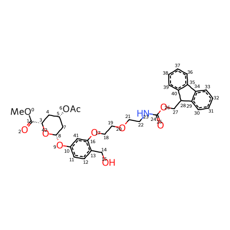 COC(=O)[C@@H]1C[C@H](OC(C)=O)C[C@H](Oc2ccc(CO)c(OCCOCCNC(=O)OCC3c4ccccc4-c4ccccc43)c2)O1